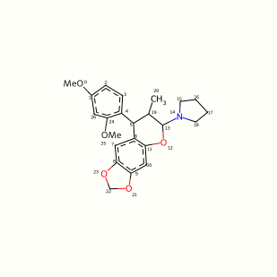 COc1ccc(C2c3cc4c(cc3OC(N3CCCC3)C2C)OCO4)c(OC)c1